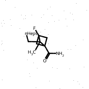 CCCCCCCCC1(C)C2(F)CC1(C(N)=O)C2